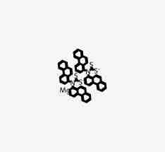 S=C([S-])N(c1cccc2c1ccc1ccccc12)c1cccc2c1ccc1ccccc12.S=C([S-])N(c1cccc2c1ccc1ccccc12)c1cccc2c1ccc1ccccc12.[Mg+2]